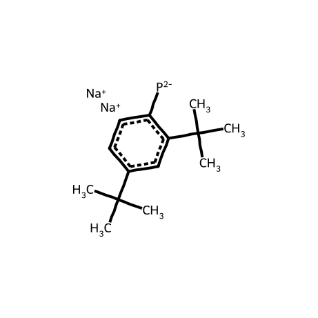 CC(C)(C)c1ccc([P-2])c(C(C)(C)C)c1.[Na+].[Na+]